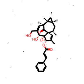 CC1=C[C@]23C(=O)[C@@H](C=C(CO)[C@@H](O)[C@]2(O)[C@H]1OC(=O)/C=C/c1ccccc1)[C@]1(C)[C@H](C)[C@@H]1C[C@H]3C